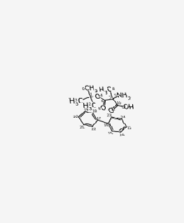 CC(C)(C)OC(=O)C(C)(N)C(=O)O.c1ccc(-c2ccccc2)cc1